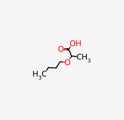 CCCCOC(C)C(=O)O